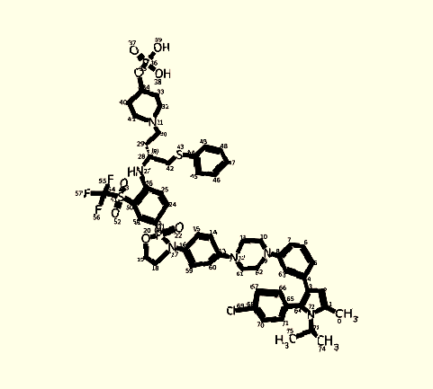 Cc1cc(-c2cccc(N3CCN(c4ccc(N5CCO[P@]5(=O)c5ccc(N[C@H](CCN6CCC(OP(=O)(O)O)CC6)CSc6ccccc6)c(S(=O)(=O)C(F)(F)F)c5)cc4)CC3)c2)c(-c2ccc(Cl)cc2)n1C(C)C